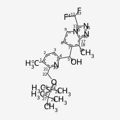 Cc1ccc(C(O)c2ccn3c(C(F)F)nnc3c2C)nc1CO[Si](C)(C)C(C)(C)C